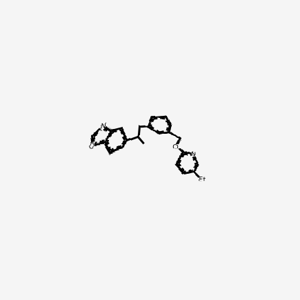 CCc1ccc(OCc2cccc(CC(C)c3ccc4ocnc4c3)c2)nc1